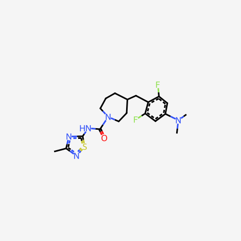 Cc1nsc(NC(=O)N2CCCC(Cc3c(F)cc(N(C)C)cc3F)CC2)n1